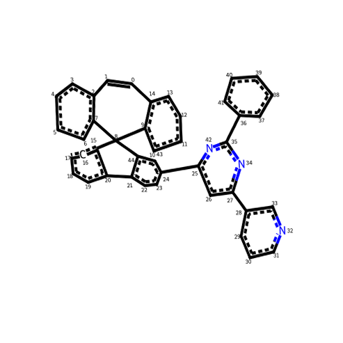 C1=Cc2ccccc2C2(c3ccccc31)c1ccccc1-c1ccc(-c3cc(-c4cccnc4)nc(-c4ccccc4)n3)cc12